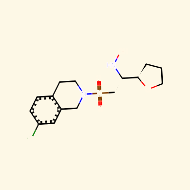 O=S(=O)(C[C@H](NO)[C@H]1CCCO1)N1CCc2ccc(Cl)cc2C1